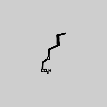 CC=CCOCC(=O)O